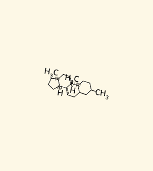 CC1CC[C@@]2(C)C(CC=C3[C@@H]4CCC[C@@]4(C)CC[C@@H]32)C1